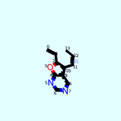 C=Cc1oc2ncncc2c1/C=C\C